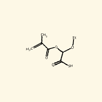 C=C(C)C(=O)OC(OCC)C(=O)S